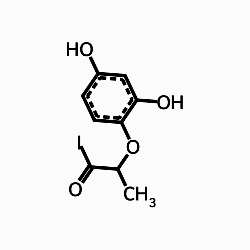 CC(Oc1ccc(O)cc1O)C(=O)I